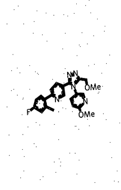 COCc1nnc(-c2ccc(-c3ccc(F)cc3C)nc2)n1-c1ccc(OC)nc1